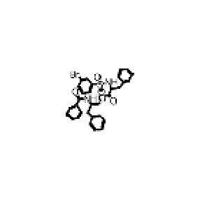 O=C(NC(COC(=O)C(Cc1ccccc1)NS(=O)(=O)c1cccc(Br)c1)Cc1ccccc1)c1ccccc1